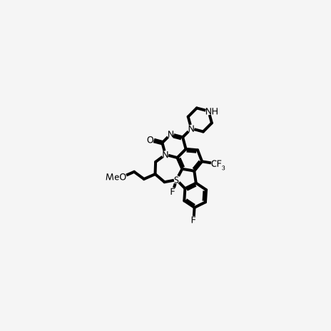 COCCC1Cn2c(=O)nc(N3CCNCC3)c3cc(C(F)(F)F)c4c(c32)S(F)(C1)c1cc(F)ccc1-4